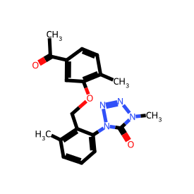 CC(=O)c1ccc(C)c(OCc2c(C)cccc2-n2nnn(C)c2=O)c1